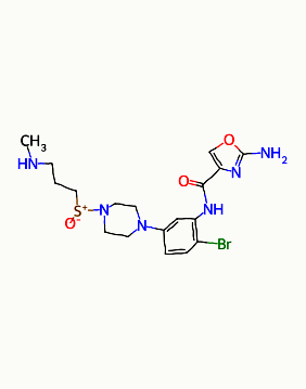 CNCCC[S+]([O-])N1CCN(c2ccc(Br)c(NC(=O)c3coc(N)n3)c2)CC1